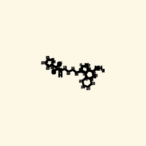 Nc1nc2c(c3c1ncn3CCCCNS(=O)(=O)c1cccs1)CCCC2